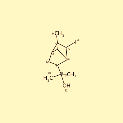 CC1C2CC(C1I)C(C(C)(C)O)C2